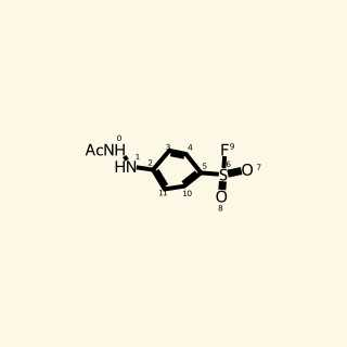 CC(=O)NNc1ccc(S(=O)(=O)F)cc1